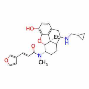 CC[C@@]12c3c4ccc(O)c3OC1[C@@H](N(C)C(=O)/C=C/c1ccoc1)CCC2C(NCC1CC1)C4